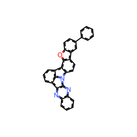 c1ccc(-c2ccc3oc4c(ccc5c4c4cccc6c7nc8ccccc8nc7n5c64)c3c2)cc1